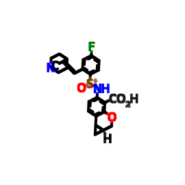 O=C(O)c1c(N[S+]([O-])c2ccc(F)cc2/C=C2/CN3CCC2CC3)ccc2c1OC[C@H]1CC21